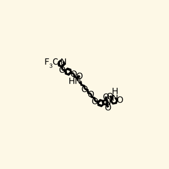 O=C(COc1ccc(Oc2cncc(C(F)(F)F)c2)cc1)NCCCOCCOCCOc1ccc2c(c1)C(=O)N(C1CCC(=O)NC1=O)C2=O